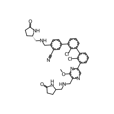 COc1nc(-c2cccc(-c3cccc(-c4ccc(CNC[C@@H]5CCC(=O)N5)c(C#N)c4)c3Cl)c2Cl)cnc1CNCC1CCC(=O)N1